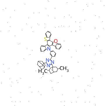 CC1CC2CC(C)CC(c3nc(-c4cccc(-n5c6ccccc6c6c7sc8ccccc8c7c7oc8ccccc8c7c65)c4)nc(C45CC6CC(CC(C6)C4)C5)n3)(C1)C2